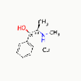 CN[C@H](C)[C@H](O)c1ccccc1.[Cu]